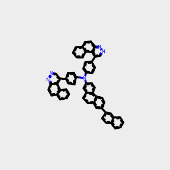 c1ccc2cc(-c3ccc4c(ccc5cc(N(c6ccc(-c7cnnc8ccc9ccccc9c78)cc6)c6ccc(-c7cnnc8ccc9ccccc9c78)cc6)ccc54)c3)ccc2c1